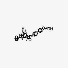 Nc1nc2c(sc(=O)n2CCN2CCN(C3C=CC(OCCO)=CC3)CC2)c2nc(-c3ccco3)nn12